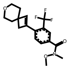 CON(C)C(=O)c1ccc(C2=CC3(CCOCC3)C2)c(C(F)(F)F)c1